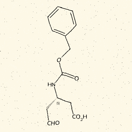 O=CC[C@@H](CC(=O)O)NC(=O)OCc1ccccc1